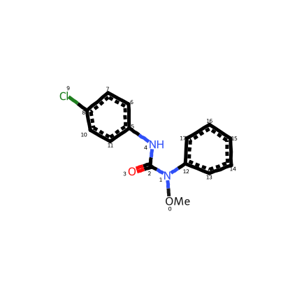 CON(C(=O)Nc1ccc(Cl)cc1)c1ccccc1